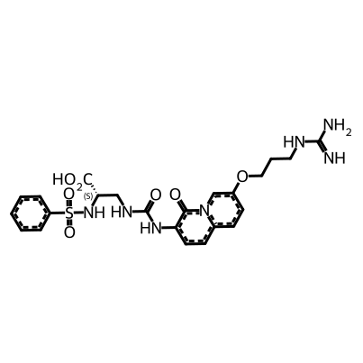 N=C(N)NCCCOc1ccc2ccc(NC(=O)NC[C@H](NS(=O)(=O)c3ccccc3)C(=O)O)c(=O)n2c1